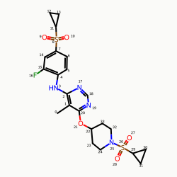 Cc1c(Nc2ccc(S(=O)(=O)C3CC3)cc2F)ncnc1OC1CCN(S(=O)(=O)C2CC2)CC1